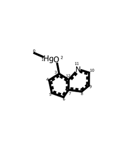 [CH3][Hg][O]c1cccc2cccnc12